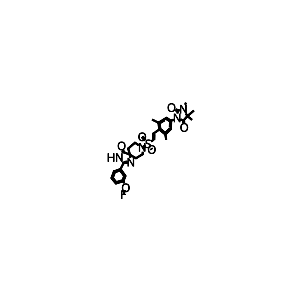 Cc1cc(N2C(=O)N(C)C(C)(C)C2=O)cc(C)c1/C=C/S(=O)(=O)N1CCC2(CC1)N=C(c1cccc(OF)c1)NC2=O